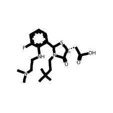 CN(C)CCNc1c(F)cccc1C1S[C@H](CC(=O)O)C(=O)N1CCC(C)(C)C